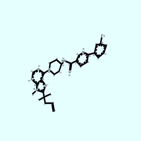 C=CCC(C)(C)c1nc2c(N3CCC(NC(=O)c4ccc(-c5cccc(F)c5)nc4)CC3)ncnc2n1C